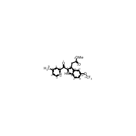 COC(=O)Cc1c(C(=O)c2cc(C)ccn2)[nH]c2ccc(OC(F)(F)F)cc12